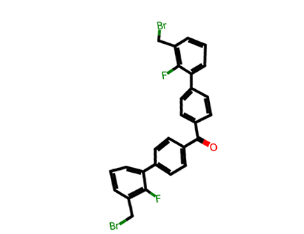 O=C(c1ccc(-c2cccc(CBr)c2F)cc1)c1ccc(-c2cccc(CBr)c2F)cc1